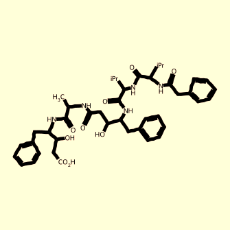 CC(NC(=O)CC(O)C(Cc1ccccc1)NC(=O)C(NC(=O)C(NC(=O)Cc1ccccc1)C(C)C)C(C)C)C(=O)NC(Cc1ccccc1)C(O)CC(=O)O